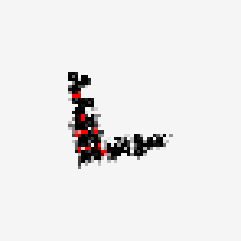 Fc1cc(-c2c(F)c(F)c(F)c(F)c2F)c(F)c(F)c1F.Fc1cc(-c2c(F)c(F)c(F)c(F)c2F)c(F)c(F)c1F.Fc1cc(-c2c(F)c(F)c(F)c(F)c2F)c(F)c(F)c1F.Fc1cc(-c2c(F)c(F)c(F)c(F)c2F)c(F)c(F)c1F.[O-]B([O-])[O-].c1ccc([C+](c2ccccc2)c2ccccc2)cc1.c1ccc([C+](c2ccccc2)c2ccccc2)cc1.c1ccc([C+](c2ccccc2)c2ccccc2)cc1